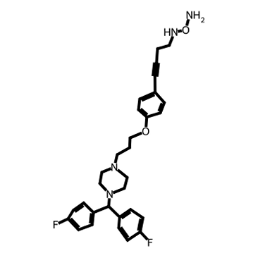 NONCCC#Cc1ccc(OCCCN2CCN(C(c3ccc(F)cc3)c3ccc(F)cc3)CC2)cc1